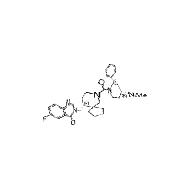 CN[C@@H]1CCN(C(=O)N2CC[C@@H](Cn3cnc4ccc(F)cc4c3=O)C3(CCCC3)C2)[C@H](c2ccccc2)C1